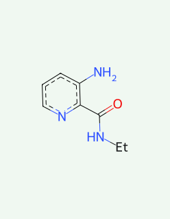 CCNC(=O)c1ncccc1N